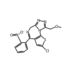 COCc1nnc2n1-c1sc(Cl)cc1C(c1ccccc1[N+](=O)[O-])=NC2